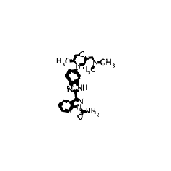 CC1COC(CN(C)C)CN1c1ccc2nc(-c3nn(C(N)=O)c4[c]cccc34)[nH]c2c1